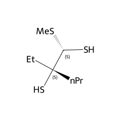 CCC[C@@](S)(CC)[C@@H](S)SC